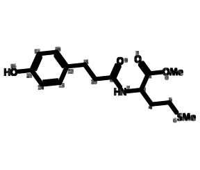 COC(=O)C(CCSC)NC(=O)CCc1ccc(O)cc1